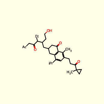 CCC(C(=O)CC(C)=O)C(CCO)CC1CC(=O)c2c(C)c(CCC(=O)C3(C)CC3)cc(C(C)C)c2C1